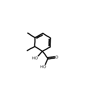 CC1=CC=CC(O)(C(=O)O)C1C